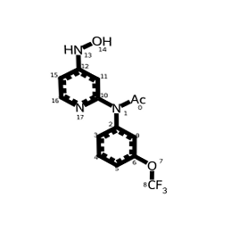 CC(=O)N(c1cccc(OC(F)(F)F)c1)c1cc(NO)ccn1